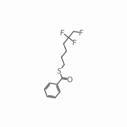 O=C(SCCCCC(F)(F)CF)c1ccccc1